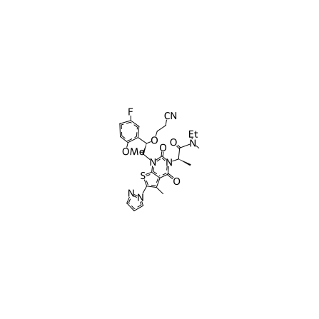 CCN(C)C(=O)[C@@H](C)n1c(=O)c2c(C)c(-n3cccn3)sc2n(C[C@H](OCCC#N)c2cc(F)ccc2OC)c1=O